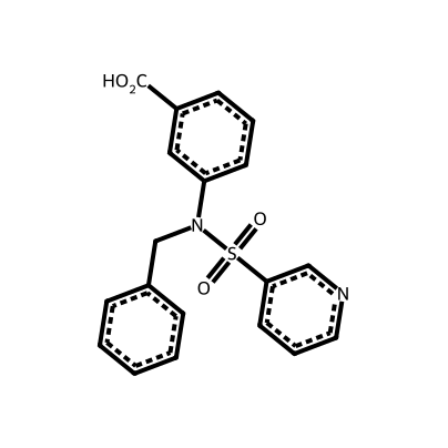 O=C(O)c1cccc(N(Cc2ccccc2)S(=O)(=O)c2cccnc2)c1